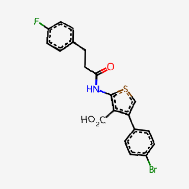 O=C(CCc1ccc(F)cc1)Nc1scc(-c2ccc(Br)cc2)c1C(=O)O